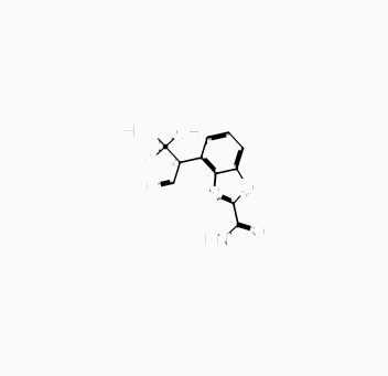 CC(C)(C)C(C=O)c1cccc2oc(C(N)=O)nc12